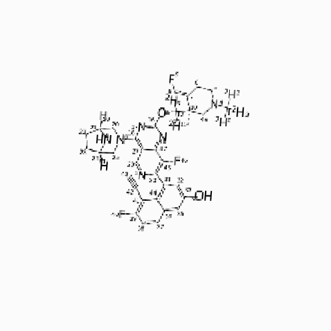 [2H]C([2H])([2H])N1CC/C(=C\F)[C@](C)(C([2H])([2H])Oc2nc(N3C[C@H]4CC[C@@H](C3)N4)c3cnc(-c4cc(O)cc5ccc(F)c(C#C)c45)c(F)c3n2)C1